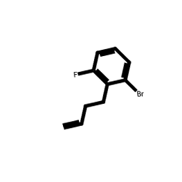 C=CCCc1c(F)cccc1Br